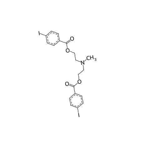 CN(CCOC(=O)c1ccc(I)cc1)CCOC(=O)c1ccc(I)cc1